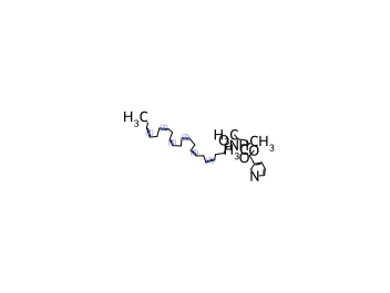 CC/C=C\C/C=C\C/C=C\C/C=C\C/C=C\C/C=C\CCC(=O)NC(C)CC(C)(C)OC(=O)c1cccnc1